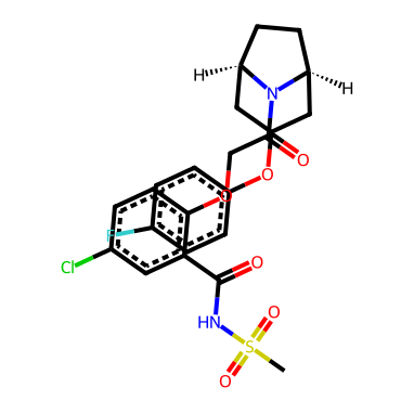 CS(=O)(=O)NC(=O)c1cc(Cl)ccc1OCC(=O)N1[C@@H]2CC[C@H]1CC(Oc1ccc(F)cc1)C2